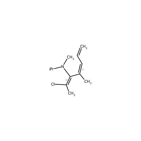 C=C/C=C(C)\C(=C(/C)Cl)N(C)C(C)C